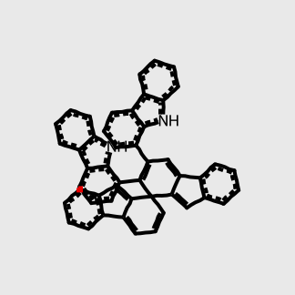 C1=CC2(C3=Cc4ccccc4C3=C1)C1=Cc3ccccc3C1=CC(c1cccc3c1[nH]c1ccccc13)=C2c1cccc2c1[nH]c1ccccc12